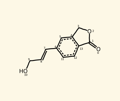 O=C1OCc2cc(/C=C/CO)ccc21